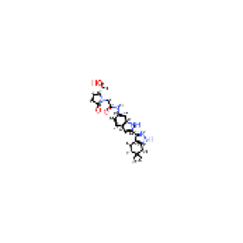 CN(C(=O)CN1C(=O)CC[C@@H]1CO)c1ccc2cc(-c3n[nH]c4c3CCC(C)(C)C4)[nH]c2c1